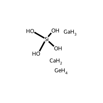 O[Si](O)(O)O.[CaH2].[GaH3].[GeH4]